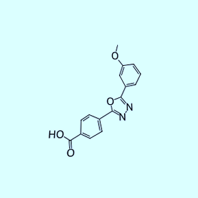 COc1cccc(-c2nnc(-c3ccc(C(=O)O)cc3)o2)c1